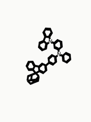 c1ccc(N(c2ccc(-c3ccc4c(c3)-c3ccccc3C43C4CC5CC(C4)CC3C5)cc2)c2cccc(-n3c4ccccc4c4ccccc43)c2)cc1